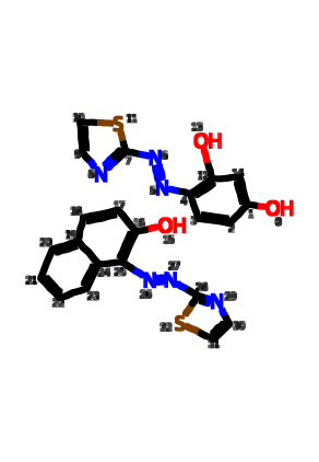 Oc1ccc(N=Nc2nccs2)c(O)c1.Oc1ccc2ccccc2c1N=Nc1nccs1